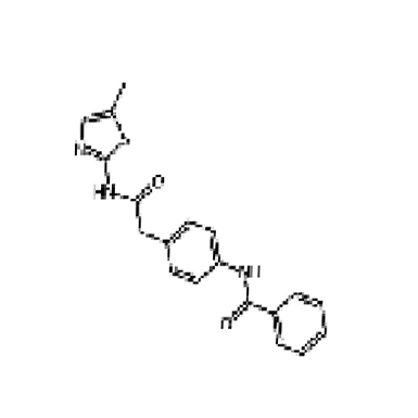 Cc1cnc(NC(=O)Cc2ccc(NC(=O)c3ccccc3)cc2)s1